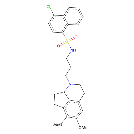 COc1cc2c3c(c1OC)CCC3N(CCCNS(=O)(=O)c1ccc(Cl)c3ccccc13)CC2